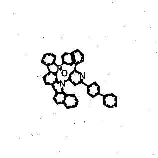 O=P1(c2ccccc2)c2ccccc2-c2ccc3c4ccc5ccccc5c4n(-c4cc(-c5ccccc5)nc(-c5ccc(-c6ccccc6)cc5)c4)c3c21